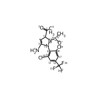 CC(=O)C1C=C(N)N(c2c(Cl)cc(C(F)(F)F)cc2Cl)N1[S+](C)[O-]